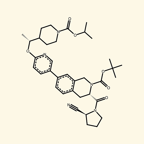 CC(C)OC(=O)N1CCC([C@@H](C)Oc2ccc(-c3ccc4c(c3)CN(C(=O)OC(C)(C)C)[C@H](C(=O)N3CCC[C@H]3C#N)C4)cn2)CC1